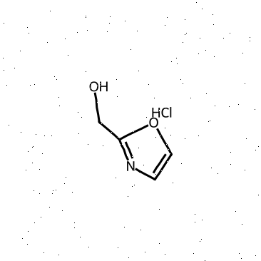 Cl.OCc1ncco1